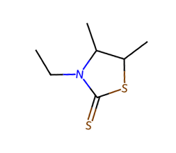 CCN1C(=S)SC(C)C1C